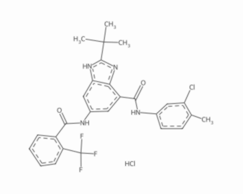 Cc1ccc(NC(=O)c2cc(NC(=O)c3ccccc3C(F)(F)F)cc3[nH]c(C(C)(C)C)nc23)cc1Cl.Cl